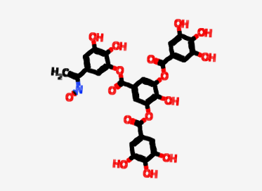 C=C(N=O)c1cc(O)c(O)c(OC(=O)c2cc(OC(=O)c3cc(O)c(O)c(O)c3)c(O)c(OC(=O)c3cc(O)c(O)c(O)c3)c2)c1